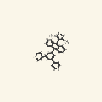 Cc1noc(C)c1-c1c2ccccc2c(-c2cc(-c3ccncc3)cc(-c3ccncc3)c2)c2ccccc12